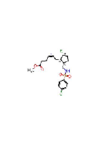 COC(=O)CC/C=C\C[C@@H]1[C@@H](CNS(=O)(=O)c2ccc(Cl)cc2)CC[C@H]1F